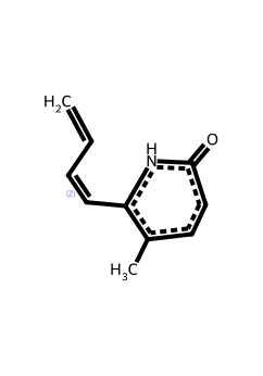 C=C/C=C\c1[nH]c(=O)ccc1C